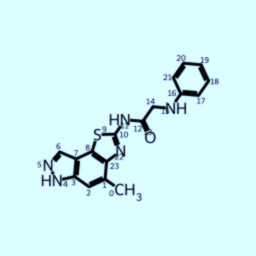 Cc1cc2[nH]ncc2c2sc(NC(=O)CNc3ccccc3)nc12